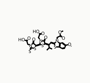 COC(=O)CN1/C(=C/C(=c2/s/c(=C3\SC(=S)N(CC(=O)O)C3=O)n(CC(=O)O)c2=O)C(C)C)Sc2ccc(OC)cc21